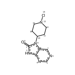 O=c1[nH]c2ncncc2n1C1CCN(Cl)CC1